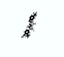 C[C@](O)(Cn1cc2ccc(C(F)(F)F)cc2n1)C(=O)Nc1ccc(C#N)c(C(F)(F)F)c1